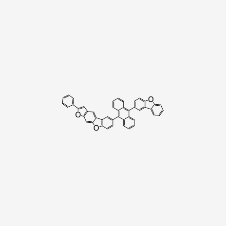 c1ccc(-c2cc3cc4c(cc3o2)oc2ccc(-c3c5ccccc5c(-c5ccc6oc7ccccc7c6c5)c5ccccc35)cc24)cc1